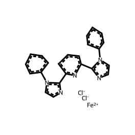 [Cl-].[Cl-].[Fe+2].c1ccc(-n2ccnc2-c2cccc(-c3nccn3-c3ccccc3)n2)cc1